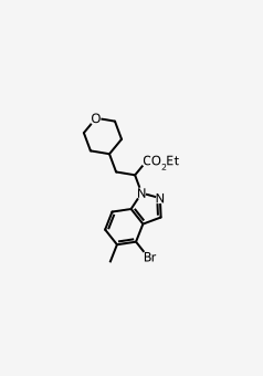 CCOC(=O)C(CC1CCOCC1)n1ncc2c(Br)c(C)ccc21